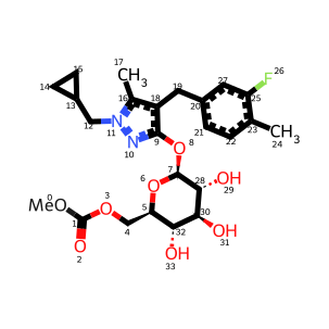 COC(=O)OC[C@H]1O[C@@H](Oc2nn(CC3CC3)c(C)c2Cc2ccc(C)c(F)c2)[C@H](O)[C@@H](O)[C@@H]1O